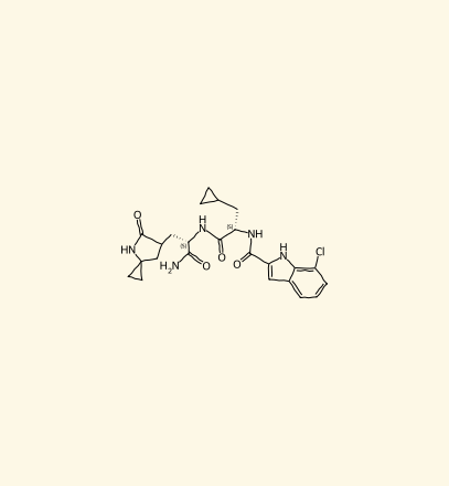 NC(=O)[C@H](CC1CC2(CC2)NC1=O)NC(=O)[C@H](CC1CC1)NC(=O)c1cc2cccc(Cl)c2[nH]1